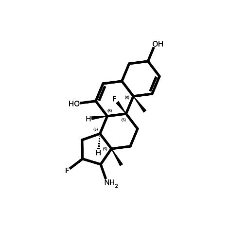 C[C@]12C=CC(O)CC1C=C(O)[C@H]1[C@@H]3CC(F)C(N)[C@@]3(C)CC[C@]12F